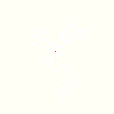 c1cc(-c2ccccc2N(c2ccc(-c3ccc4c5ccccc5c5ccccc5c4c3)cc2)c2ccc(-c3cccc4c3sc3ccccc34)cc2)cc(-c2cccc3ccccc23)c1